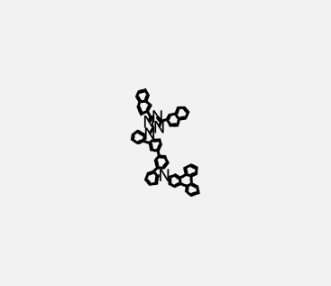 c1ccc2cc(-c3nc(-c4ccc5ccccc5c4)nc(-n4c5ccccc5c5cc(-c6ccc7c(c6)c6ccccc6n7-c6ccc7c8ccccc8c8ccccc8c7c6)ccc54)n3)ccc2c1